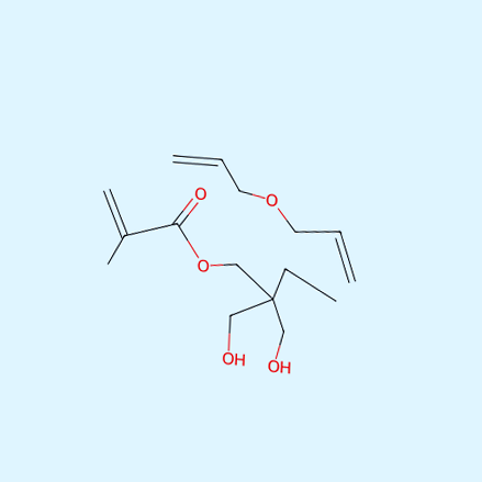 C=C(C)C(=O)OCC(CC)(CO)CO.C=CCOCC=C